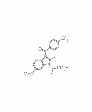 COc1ccc2c(c1)c(C(C)C(=O)O)c(C)n2C(=O)c1ccc(C(F)(F)F)cc1